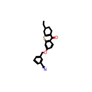 CCC1CCc2c(sc3cc(OCc4cccc(C#N)c4)ccc3c2=O)C1